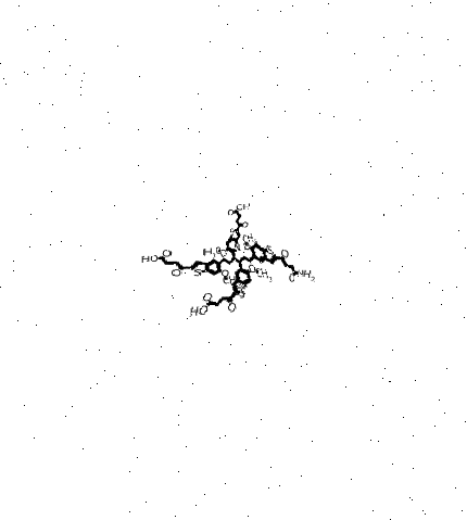 COc1cc2sc(C(=O)CCC(N)=O)cc2cc1CCC(c1cc2cc(C(=O)CCC(=O)O)sc2cc1OC)C(CCc1cc2cc(C(=O)CCC(=O)O)sc2cc1OC)c1nc2cc(C(=O)CCC(=O)O)sc2cc1OC